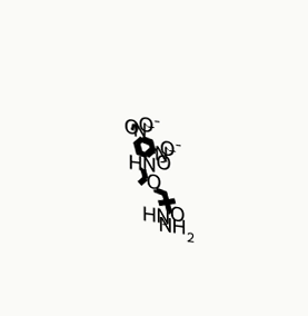 CC(CNc1ccc([N+](=O)[O-])cc1[N+](=O)[O-])OCCC(C)(C)C(=O)NN